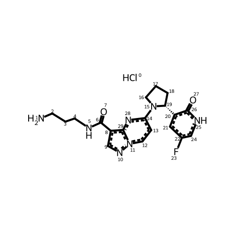 Cl.NCCCNC(=O)c1cnn2ccc(N3CCC[C@@H]3c3cc(F)c[nH]c3=O)nc12